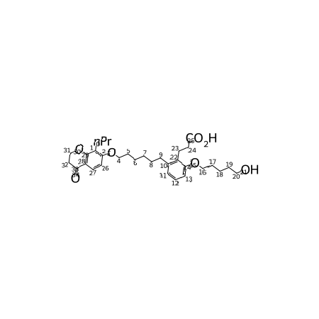 CCCc1c(OCCCCCCc2cccc(OCCCCCO)c2CCC(=O)O)ccc2c1OCCC2=O